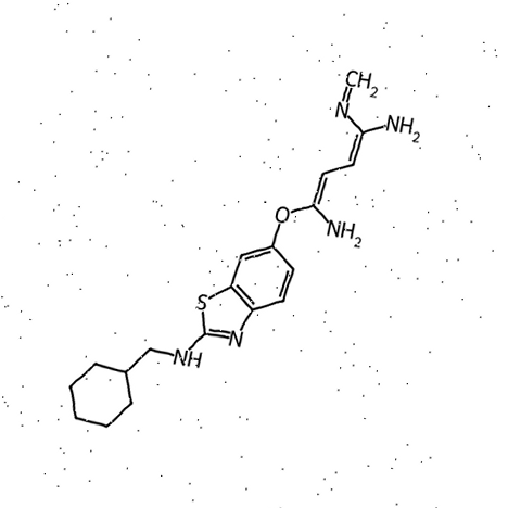 C=N/C(N)=C\C=C(/N)Oc1ccc2nc(NCC3CCCCC3)sc2c1